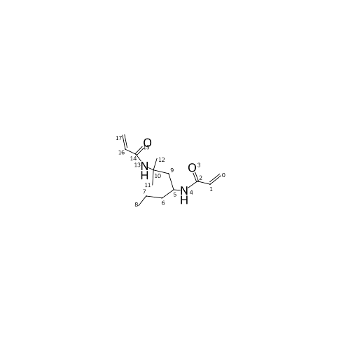 C=CC(=O)NC(CCC)CC(C)(C)NC(=O)C=C